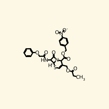 CCC(=O)OCC1=CS[C@H]2C(NC(=O)COc3ccccc3)C(=O)N2C1C(=O)OCc1ccc([N+](=O)[O-])cc1